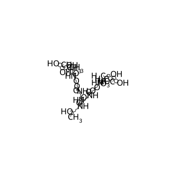 CCCC(CO)CCCCNC(=O)C[C@H](CCCCNC(=O)COCCOCCNC(=O)CCC(C)[C@H]1CCC2C3C(C[C@H](O)[C@@]21C)[C@@]1(C)CC[C@@H](O)CC1C[C@H]3O)NC(=O)CCCNC(=O)COCCOCCNC(=O)CCC(C)[C@H]1CCC2C3C(C[C@H](O)[C@@]21C)[C@@]1(C)CC[C@@H](O)CC1C[C@H]3O